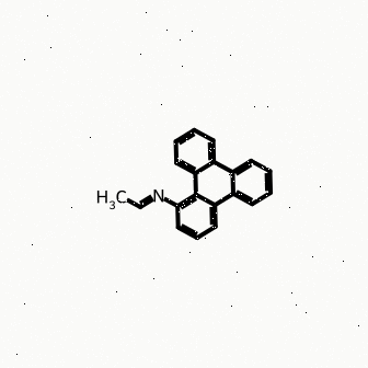 C/C=N/c1cccc2c3ccccc3c3ccccc3c12